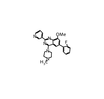 COc1cc(-c2ccccc2F)cc2c(N3CCN(C)CC3)nc(-c3cccnc3)nc12